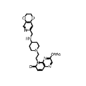 COc1cnc2ccc(=O)n(CCN3CCC(NCc4cc5c(cn4)OCCO5)CC3)c2n1